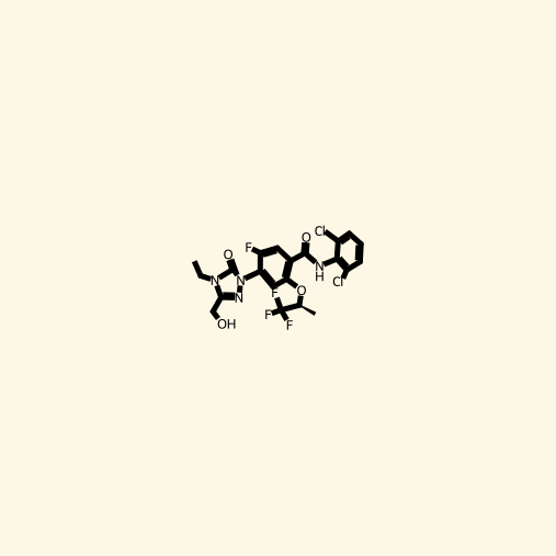 CCn1c(CO)nn(-c2cc(O[C@@H](C)C(F)(F)F)c(C(=O)Nc3c(Cl)cccc3Cl)cc2F)c1=O